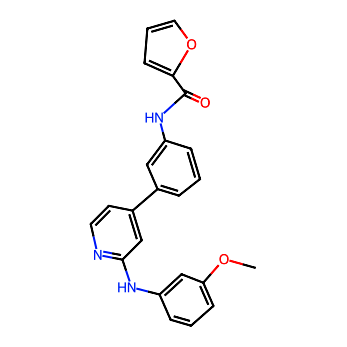 COc1cccc(Nc2cc(-c3cccc(NC(=O)c4ccco4)c3)ccn2)c1